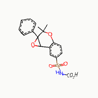 CC1(C)Oc2ccc(S(=O)(=O)NC(=O)O)cc2C2OC21c1ccccc1